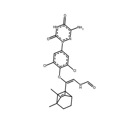 CC1=C(/C(=C\NC=O)Oc2c(Cl)cc(-n3nc(N)c(=O)[nH]c3=O)cc2Cl)C2CCC1(C)CC2